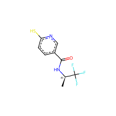 C[C@@H](NC(=O)c1ccc(S)nc1)C(F)(F)F